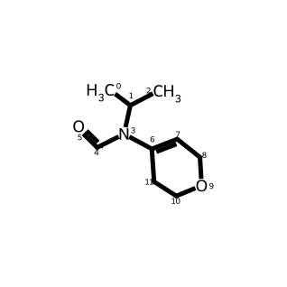 CC(C)N([C]=O)C1=CCOCC1